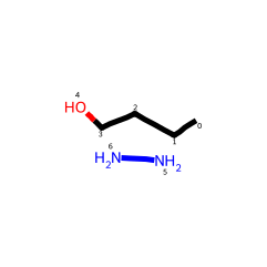 CCCCO.NN